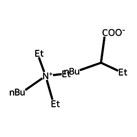 CCCCC(CC)C(=O)[O-].CCCC[N+](CC)(CC)CC